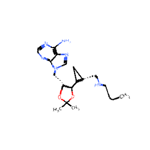 CCCNC[C@H]1CC1C1OC(C)(C)O[C@@H]1Cn1cnc2c(N)ncnc21